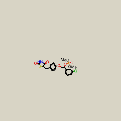 COP(=O)(OC)OC(COc1ccc(CC2SC(=O)NC2=O)cc1)c1cccc(Cl)c1